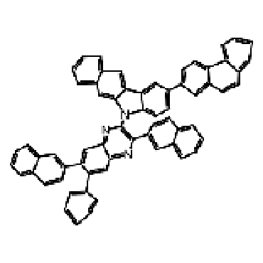 c1ccc(-c2cc3nc(-c4ccc5ccccc5c4)c(-n4c5ccc(-c6ccc7c(ccc8ccccc87)c6)cc5c5cc6ccccc6cc54)nc3cc2-c2ccc3ccccc3c2)cc1